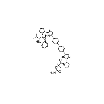 CC(C)[C@@H](Nc1ncccn1)C(=O)N1CCC[C@H]1c1ncc(-c2ccc(-c3ccc(-c4cnc([C@@H]5CCCN5C(=O)C(C)(C)OC(N)=O)[nH]4)cc3)cc2)[nH]1